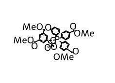 COC(=O)c1ccc(P(C)(OS(=O)(=O)c2cc(C(=O)OC)cc(C(=O)OC)c2)(c2ccccc2)c2ccc(C(=O)OC)cc2)cc1